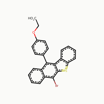 O=C(O)COc1ccc(-c2c3ccccc3c(Br)c3sc4ccccc4c23)cc1